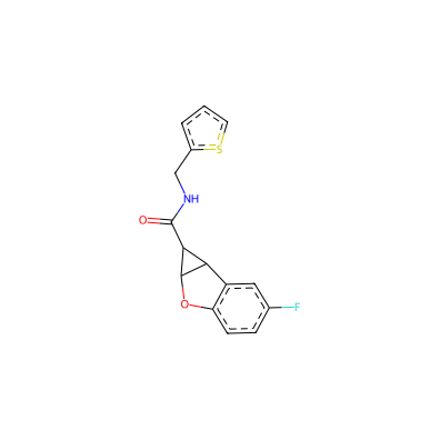 O=C(NCc1cccs1)C1C2Oc3ccc(F)cc3C21